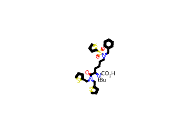 CC(C)(C)N(C(=O)O)C(CCCCN(Cc1ccccc1)S(=O)(=O)c1cccs1)C(=O)N(Cc1cccs1)Cc1cccs1